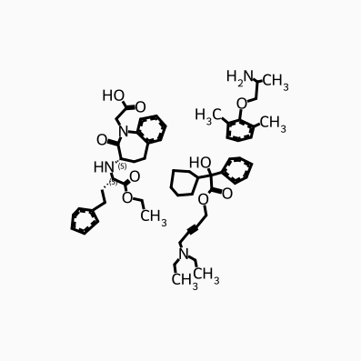 CCN(CC)CC#CCOC(=O)C(O)(c1ccccc1)C1CCCCC1.CCOC(=O)[C@H](CCc1ccccc1)N[C@H]1CCc2ccccc2N(CC(=O)O)C1=O.Cc1cccc(C)c1OCC(C)N